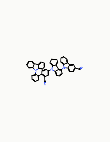 N#Cc1ccc2c(c1)c1ccccc1n2-c1cccc2c1c1ccccc1n2-c1ccc(-c2ccccc2-n2c3ccccc3c3ccccc32)c(C#N)c1